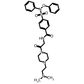 CN(C)CCN1CCN(C(=O)CNC(=O)c2ccc(S(=O)(=O)N(Oc3ccccc3)c3ccccc3)cc2)CC1